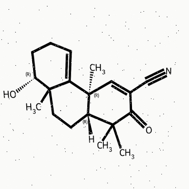 CC1(C)C(=O)C(C#N)=C[C@]2(C)C3=CCC[C@@H](O)C3(C)CC[C@@H]12